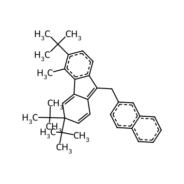 Cc1c(C(C)(C)C)ccc2c1C1=CC(C(C)(C)C)(C(C)(C)C)C=CC1=C2Cc1ccc2ccccc2c1